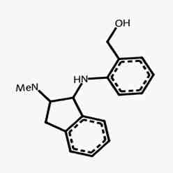 CNC1Cc2ccccc2C1Nc1ccccc1CO